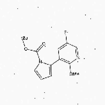 COc1ncc(F)cc1-c1cccn1C(=O)OC(C)(C)C